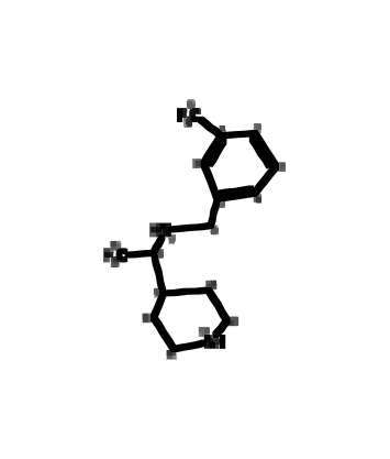 FC(F)(F)c1cccc(CNC(C2CCNCC2)C(F)(F)F)c1